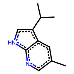 Cc1cnc2[nH]cc(C(C)C)c2c1